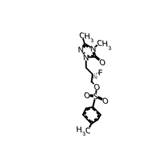 Cc1ccc(S(=O)(=O)OC[C@@H](F)Cn2nc(C)n(C)c2=O)cc1